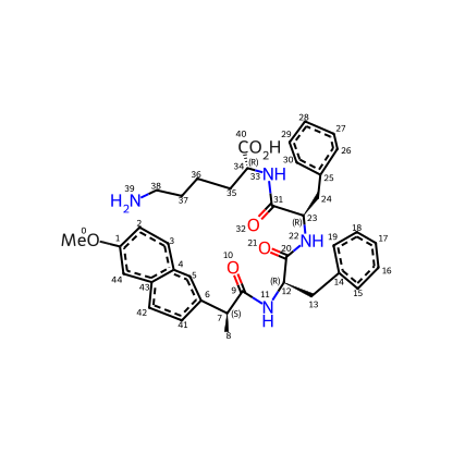 COc1ccc2cc([C@H](C)C(=O)N[C@H](Cc3ccccc3)C(=O)N[C@H](Cc3ccccc3)C(=O)N[C@H](CCCCN)C(=O)O)ccc2c1